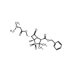 CN(C)CC(=O)OC[C@@H]1C(=O)N2[C@@H](C(=O)OCc3ccccc3)C(C)(C)S(=O)(=O)[C@H]12